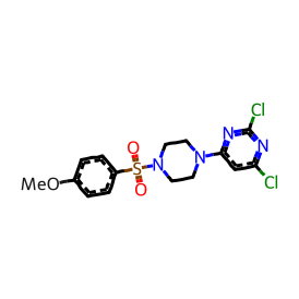 COc1ccc(S(=O)(=O)N2CCN(c3cc(Cl)nc(Cl)n3)CC2)cc1